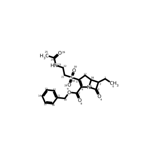 CCC1C(=O)N2C(C(=O)OCc3ccccc3)=C(S(=O)(=O)CCNC(C)=O)CC12